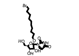 O=c1ccn([C@]2(OCCCCCCCCCCBr)O[C@H](CO)[C@@H](O)[C@H]2O)c(=O)[nH]1